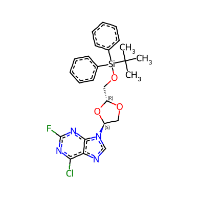 CC(C)(C)[Si](OC[C@@H]1OC[C@@H](n2cnc3c(Cl)nc(F)nc32)O1)(c1ccccc1)c1ccccc1